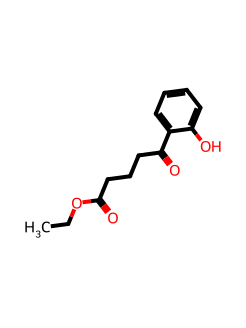 CCOC(=O)CCCC(=O)c1ccccc1O